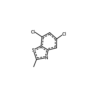 Cc1nc2cc(Cl)cc(Cl)c2s1